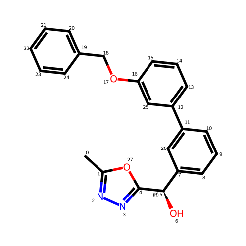 Cc1nnc([C@H](O)c2cccc(-c3cccc(OCc4ccccc4)c3)c2)o1